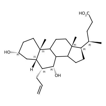 C=CC[C@H]1[C@@H](O)C2C3CC[C@H]([C@H](C)CCC(=O)O)[C@@]3(C)CCC2[C@@]2(C)CC[C@@H](O)C[C@@H]12